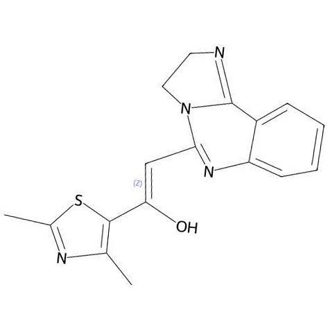 Cc1nc(C)c(/C(O)=C/C2=Nc3ccccc3C3=NCCN23)s1